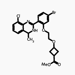 COC(=O)C1CC(OCCOc2cc(Br)ccc2C2=Nc3c(Cl)cccc3C(C)N2)C1